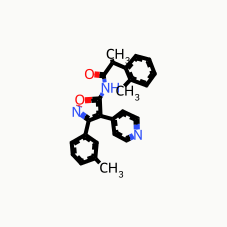 Cc1cccc(-c2noc(NC(=O)C(C)c3ccccc3C)c2-c2ccncc2)c1